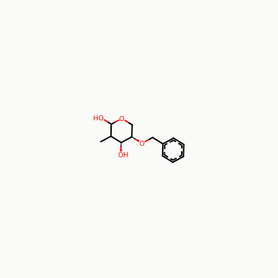 CC1C(O)OC[C@@H](OCc2ccccc2)[C@H]1O